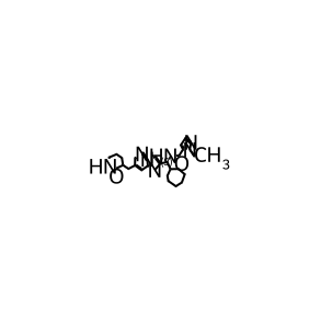 CCn1nccc1C(=O)N[C@H](c1cn2ncc(CC3CCCNC3=O)cc2n1)C1CCCCCC1